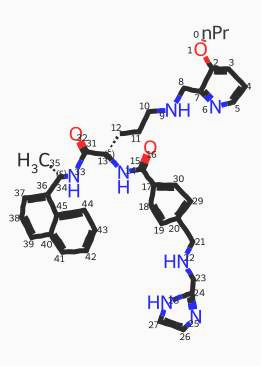 CCCOc1cccnc1CNCCC[C@H](NC(=O)c1ccc(CNCc2ncc[nH]2)cc1)C(=O)N[C@@H](C)c1cccc2ccccc12